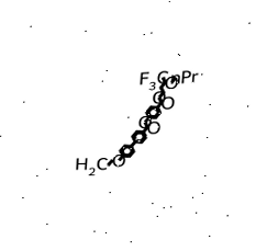 C=CCOc1ccc(-c2ccc(C(=O)Oc3ccc(C(=O)OCCC(OCCC)C(F)(F)F)cc3)cc2)cc1